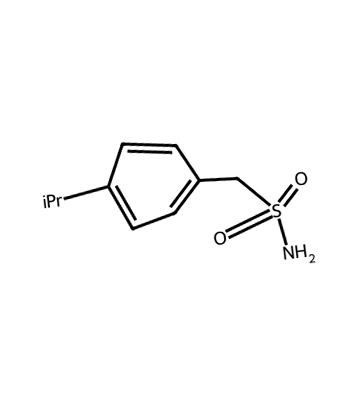 CC(C)c1ccc(CS(N)(=O)=O)cc1